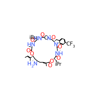 C/C=C(\C)[C@H]1OC(=O)[C@@H](C)NC(=O)C(C(C)CC)NC(=O)CN(C)C(=O)[C@@H](Cc2ccc(C(F)(F)F)cc2)N(C)C(=O)[C@H](C)NC(=O)[C@@H](CC(C)C)OC(=O)/C(C)=C/C[C@H](N)[C@@H]1C